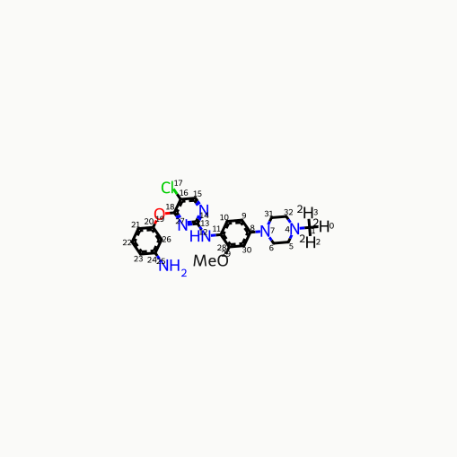 [2H]C([2H])([2H])N1CCN(c2ccc(Nc3ncc(Cl)c(Oc4cccc(N)c4)n3)c(OC)c2)CC1